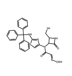 CON=CC(=O)N(c1csc(NC(c2ccccc2)(c2ccccc2)c2ccccc2)n1)C1C(=O)NC1CS